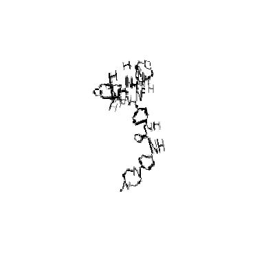 CN1CCN(c2ccc(NC(=O)Nc3ccc(-c4nc(N5[C@@H]6COC[C@H]5[C@H](F)C6)nc(N5[C@@H]6COC[C@H]5[C@H](F)C6)n4)cc3)cc2)CC1